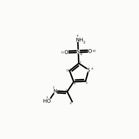 C/C(=N\O)c1csc(S(N)(=O)=O)c1